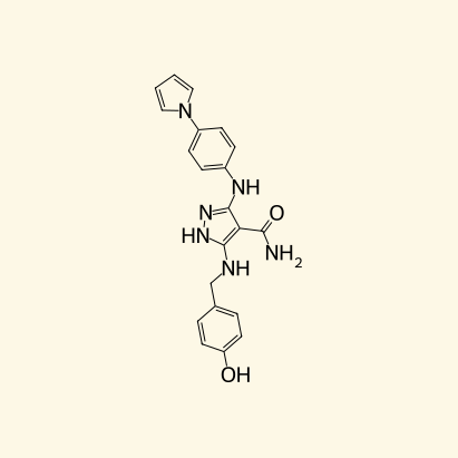 NC(=O)c1c(Nc2ccc(-n3cccc3)cc2)n[nH]c1NCc1ccc(O)cc1